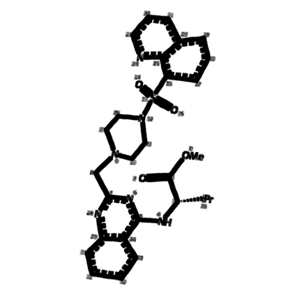 COC(=O)[C@@H](Nc1nc(CN2CCN(S(=O)(=O)c3cccc4cccnc34)CC2)nc2ccccc12)C(C)C